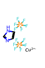 F[P-](F)(F)(F)(F)F.F[P-](F)(F)(F)(F)F.[Cu+2].c1c[nH]cn1